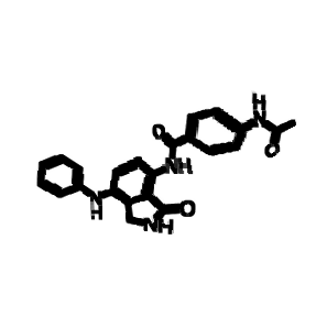 CC(=O)Nc1ccc(C(=O)Nc2ccc(Nc3ccccc3)c3c2C(=O)NC3)cc1